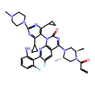 C=CC(=O)N1C[C@H](C)N(c2nc(=O)n(-c3c(C4CC4)nc(N4CCN(C)CC4)nc3C3CC3)c3nc(-c4c(N)cccc4F)c(F)cc23)C[C@H]1C